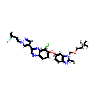 C=C(F)/C=C/n1cc(-c2cnc3ccc(Oc4ccc5nc(C)n(COCC[Si](C)(C)C)c5c4)c(Cl)c3n2)cn1